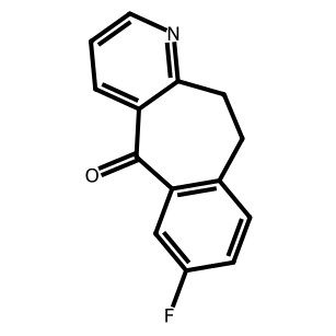 O=C1c2cc(F)ccc2CCc2ncccc21